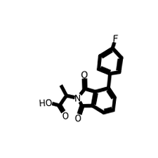 CC(C(=O)O)N1C(=O)c2cccc(-c3ccc(F)cc3)c2C1=O